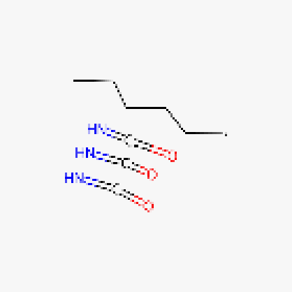 N=C=O.N=C=O.N=C=O.[CH]CCCCC